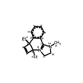 CCC12C=CC1(CC)[N+]1=C(c3ccccc32)N(C)CC1